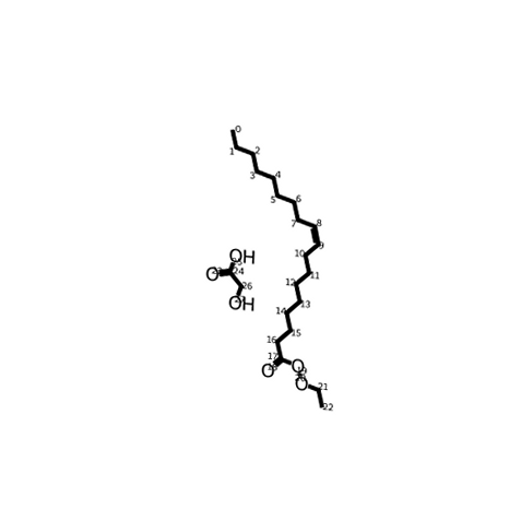 CCCCCCCC/C=C\CCCCCCCC(=O)OOCC.O=C(O)CO